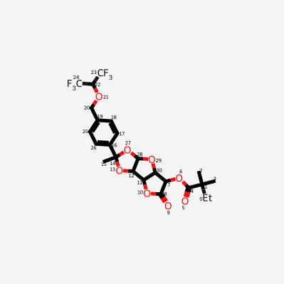 CCC(C)(C)C(=O)OC1C(=O)OC2C3OC(C)(c4ccc(COC(C(F)(F)F)C(F)(F)F)cc4)OC3OC12